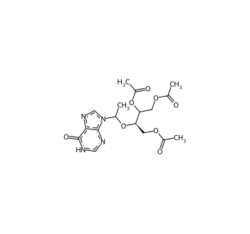 CC(=O)OCC(OC(C)=O)[C@@H](COC(C)=O)OC(C)n1cnc2c(=O)[nH]cnc21